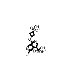 CC[C@@](C)(O)c1cnc(O[C@H]2C[C@@H](S(C)(=O)=O)C2)c2cnc(Cl)cc12